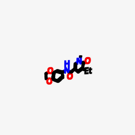 CCc1cc(C(=O)Nc2ccc3c(c2)OCCO3)cn(C)c1=O